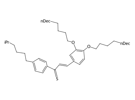 CCCCCCCCCCCCCCOc1ccc(C=CC(=S)c2ccc(CCCCC(C)C)cc2)cc1OCCCCCCCCCCCCCC